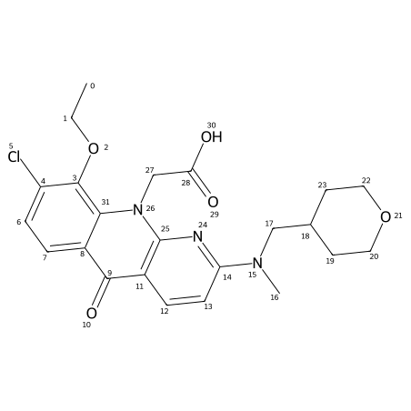 CCOc1c(Cl)ccc2c(=O)c3ccc(N(C)CC4CCOCC4)nc3n(CC(=O)O)c12